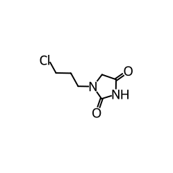 O=C1CN(CCCCl)C(=O)N1